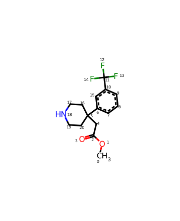 COC(=O)CC1(c2cccc(C(F)(F)F)c2)CCNCC1